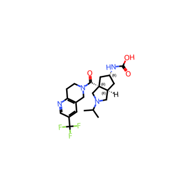 CC(C)N1C[C@@H]2C[C@@H](NC(=O)O)C[C@]2(C(=O)N2CCc3ncc(C(F)(F)F)cc3C2)C1